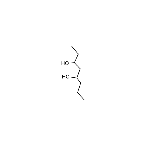 C[CH]C(O)CC(O)CCC